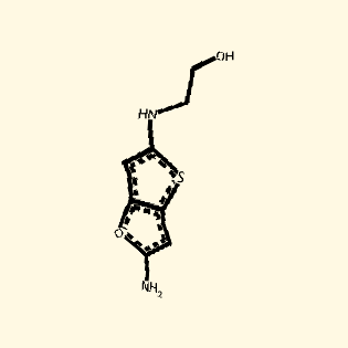 Nc1cc2sc(NCCO)cc2o1